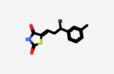 CCC(CC=C1SC(=O)NC1=O)c1cccc(C)c1